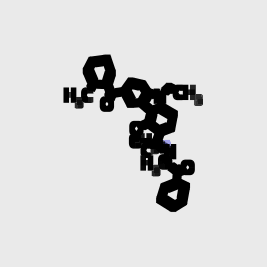 CCn1c2ccc(C(=O)c3ccccc3C)cc2c2c(OC)c(/C(C)=N/OC(=O)c3ccccc3)ccc21